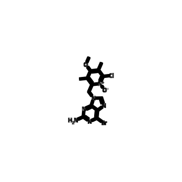 COc1c(C)c(Cl)[n+]([O-])c(Cn2cnc3c(Br)nc(N)nc32)c1C